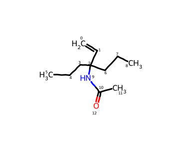 C=CC(CCC)(CCC)NC(C)=O